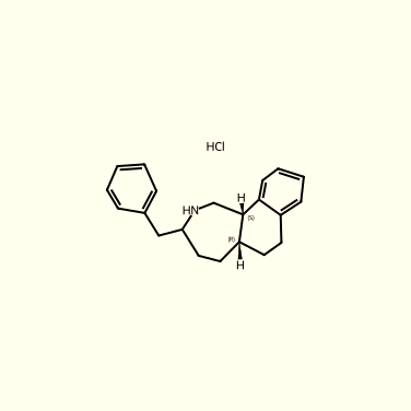 Cl.c1ccc(CC2CC[C@H]3CCc4ccccc4[C@H]3CN2)cc1